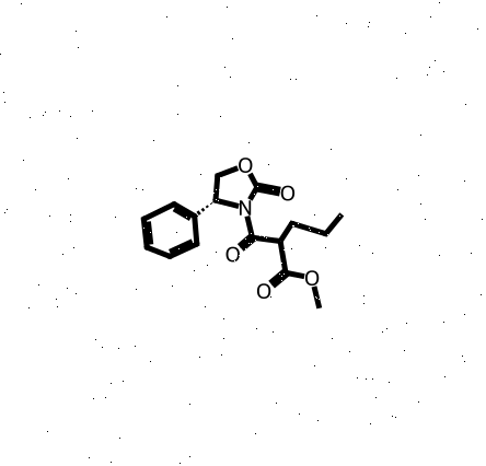 CCCC(C(=O)OC)C(=O)N1C(=O)OC[C@H]1c1ccccc1